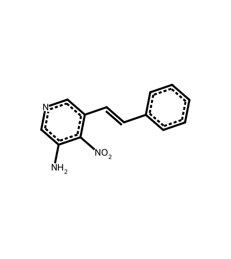 Nc1cncc(C=Cc2ccccc2)c1[N+](=O)[O-]